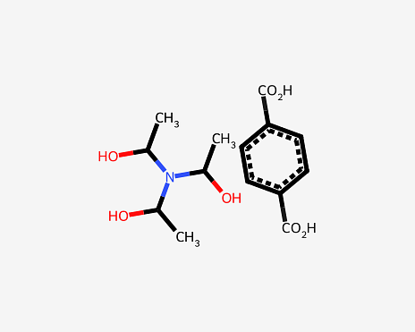 CC(O)N(C(C)O)C(C)O.O=C(O)c1ccc(C(=O)O)cc1